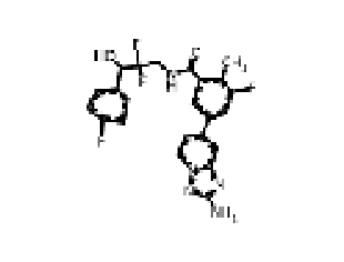 Cc1c(F)cc(-c2ccn3nc(N)nc3c2)cc1C(=O)NCC(F)(F)C(O)c1ccc(F)cc1